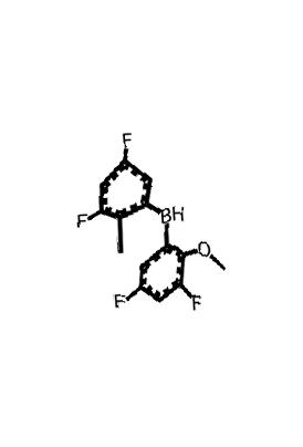 COc1c(F)cc(F)cc1Bc1cc(F)cc(F)c1C